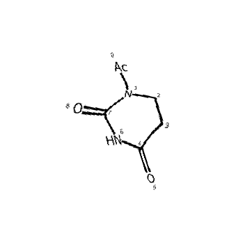 CC(=O)N1CCC(=O)NC1=O